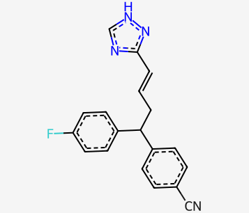 N#Cc1ccc(C(CC=Cc2nc[nH]n2)c2ccc(F)cc2)cc1